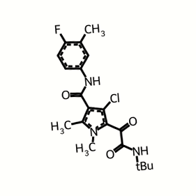 Cc1cc(NC(=O)c2c(Cl)c(C(=O)C(=O)NC(C)(C)C)n(C)c2C)ccc1F